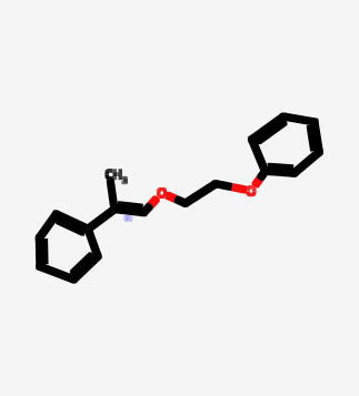 C/C(=C\OCCOc1ccccc1)c1ccccc1